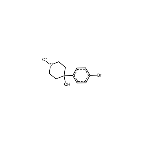 [O-][S+]1CCC(O)(c2ccc(Br)cc2)CC1